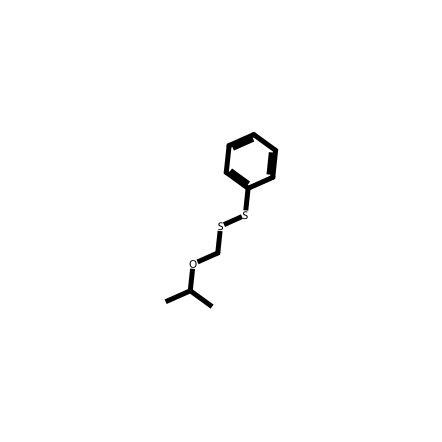 CC(C)OCSSc1ccccc1